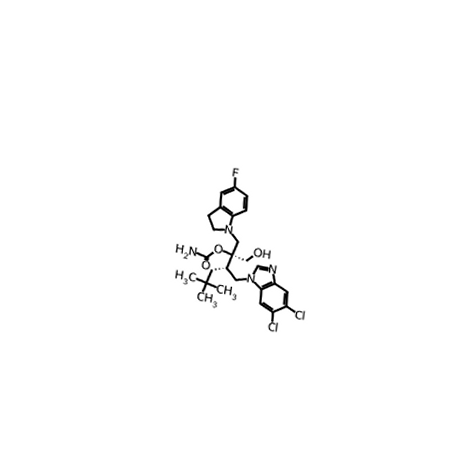 CC(C)(C)C[C@@H](Cn1cnc2cc(Cl)c(Cl)cc21)[C@](CO)(CN1CCc2cc(F)ccc21)OC(N)=O